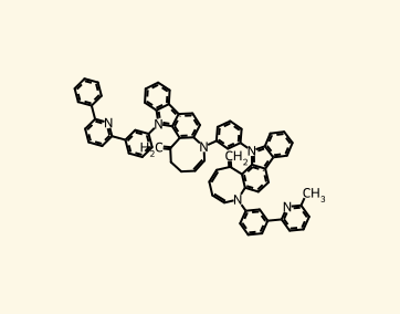 C=C1/C=C\C=C/N(c2cccc(-c3cccc(C)n3)c2)c2ccc3c4ccccc4n(-c4cccc(N5/C=C\CCC(=C)c6c5ccc5c7ccccc7n(-c7cccc(-c8cccc(-c9ccccc9)n8)c7)c65)c4)c3c21